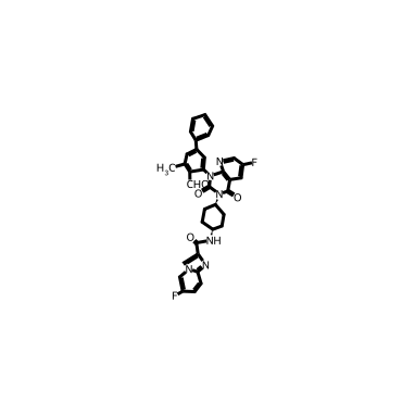 Cc1cc(-c2ccccc2)cc(-n2c(=O)n([C@H]3CC[C@@H](NC(=O)c4cn5cc(F)ccc5n4)CC3)c(=O)c3cc(F)cnc32)c1C=O